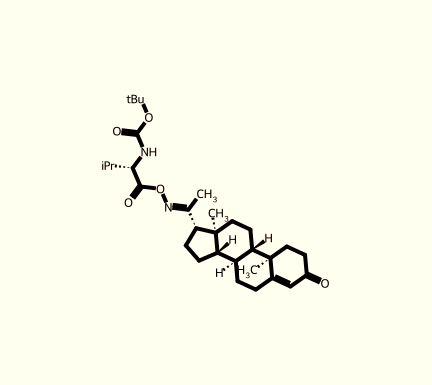 C/C(=N\OC(=O)[C@@H](NC(=O)OC(C)(C)C)C(C)C)[C@H]1CC[C@H]2[C@@H]3CCC4=CC(=O)CC[C@]4(C)[C@H]3CC[C@]12C